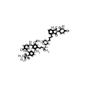 C=C1c2cccc(CCCN3CCO[C@@H](CN(C)CCc4cc(OC)c(Nc5ncc(Cl)c(Nc6ccccc6S(=O)(=O)C(C)C)n5)cc4C)C3)c2C(=O)N1C1CCC(=O)NC1=O